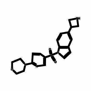 O=S(=O)(c1ccc(N2CCOCC2)nc1)n1ccc2cc(C3CNC3)ccc21